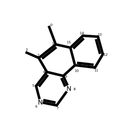 Cc1c(C)c2cncnc2c2ccccc12